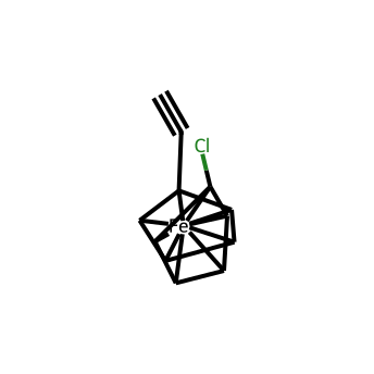 C#C[C]12[CH]3[CH]4[CH]5[CH]1[Fe]45321678[CH]2[CH]1[CH]6[C]7(Cl)[CH]28